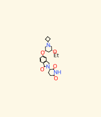 CCO[C@@H]1C[C@@H](Oc2ccc3c(c2)CN(C2CCC(=O)NC2=O)C3=O)CN(C2CCC2)C1